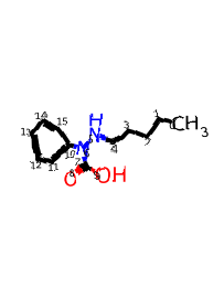 CCCCCNN(C(=O)O)c1ccccc1